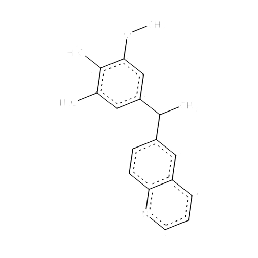 COc1cc(C(C)c2ccc3ncccc3c2)cc(C)c1C